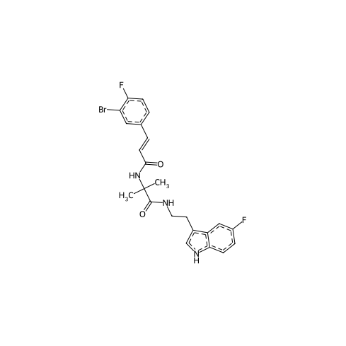 CC(C)(NC(=O)C=Cc1ccc(F)c(Br)c1)C(=O)NCCc1c[nH]c2ccc(F)cc12